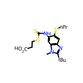 CCCSc1cc2nc(C(C)(C)C)n(C)c2cc1NC(=S)SCCC(=O)O